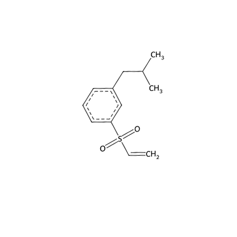 C=CS(=O)(=O)c1cccc(CC(C)C)c1